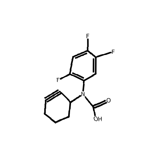 O=C(O)N(c1cc(F)c(F)cc1F)C1C#CCCC1